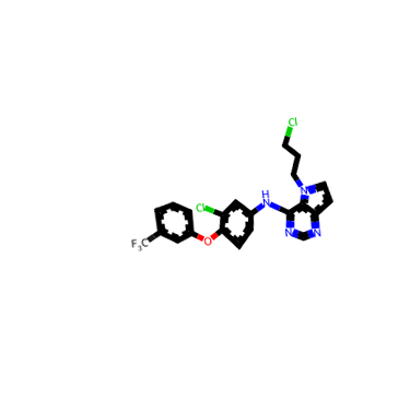 FC(F)(F)c1cccc(Oc2ccc(Nc3ncnc4ccn(CCCCl)c34)cc2Cl)c1